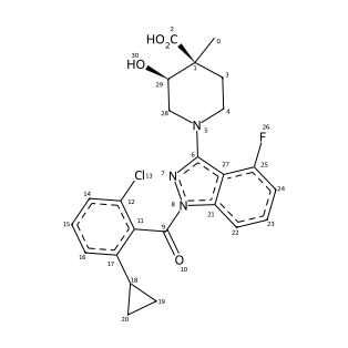 C[C@]1(C(=O)O)CCN(c2nn(C(=O)c3c(Cl)cccc3C3CC3)c3cccc(F)c23)C[C@H]1O